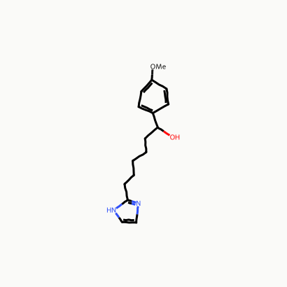 COc1ccc(C(O)CCCCCc2ncc[nH]2)cc1